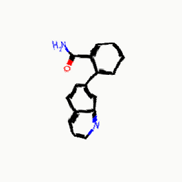 NC(=O)c1ccccc1-c1ccc2cccnc2c1